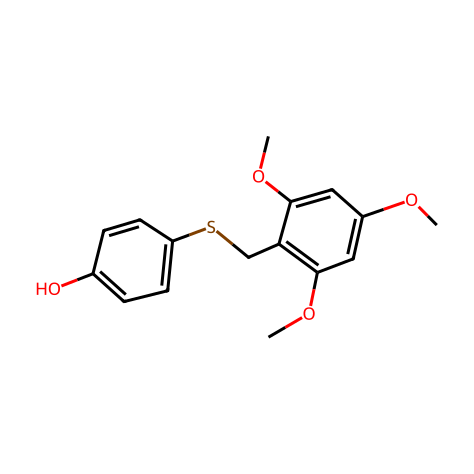 COc1cc(OC)c(CSc2ccc(O)cc2)c(OC)c1